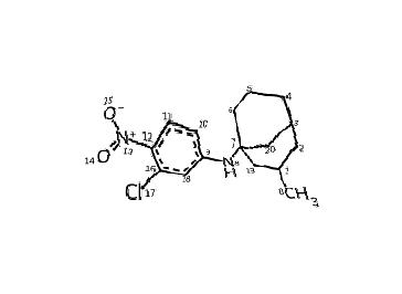 CC1CC2CCCC(Nc3ccc([N+](=O)[O-])c(Cl)c3)(C1)C2